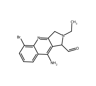 CCN1Cc2nc3c(Br)cccc3c(N)c2C1C=O